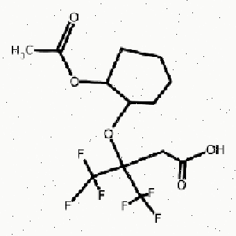 CC(=O)OC1CCCCC1OC(CC(=O)O)(C(F)(F)F)C(F)(F)F